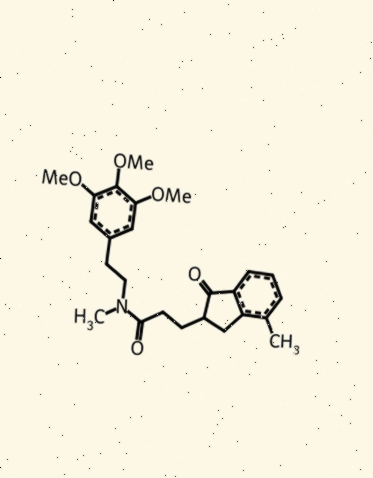 COc1cc(CCN(C)C(=O)CCC2Cc3c(C)cccc3C2=O)cc(OC)c1OC